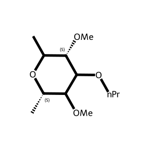 CCCOC1C(OC)[C@H](C)OC(C)[C@@H]1OC